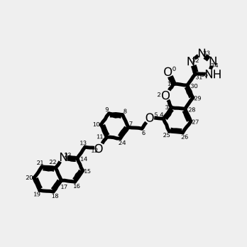 O=c1oc2c(OCc3cccc(OCc4ccc5ccccc5n4)c3)cccc2cc1-c1nnn[nH]1